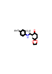 COc1ccc(N[C@H](C(=O)O)[C@H]2CC3(CCC2=O)OCCO3)cc1